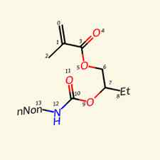 C=C(C)C(=O)OCC(CC)OC(=O)NCCCCCCCCC